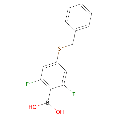 OB(O)c1c(F)cc(SCc2ccccc2)cc1F